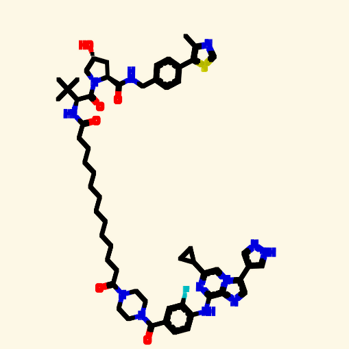 Cc1ncsc1-c1ccc(CNC(=O)[C@@H]2C[C@@H](O)CN2C(=O)[C@@H](NC(=O)CCCCCCCCCCCCC(=O)N2CCN(C(=O)c3ccc(Nc4nc(C5CC5)cn5c(-c6cn[nH]c6)cnc45)c(F)c3)CC2)C(C)(C)C)cc1